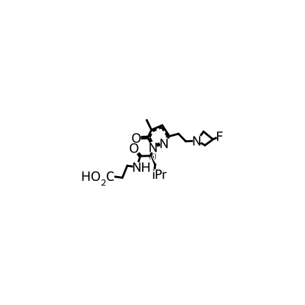 Cc1cc(CCN2CC(F)C2)nn([C@@H](CC(C)C)C(=O)NCCC(=O)O)c1=O